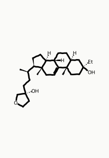 CC[C@]1(O)CC[C@]2(C)C3=CC[C@]4(C)[C@@H]([C@H](C)CC[C@@]5(O)CCOC5)CC[C@H]4[C@@H]3CC[C@H]2C1